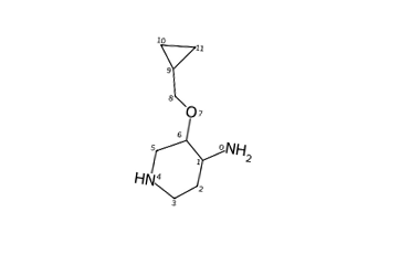 NC1CCNCC1OCC1CC1